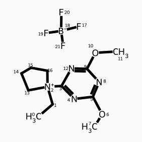 CC[N+]1(c2nc(OC)nc(OC)n2)CCCC1.F[B-](F)(F)F